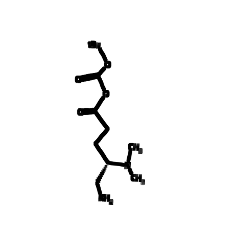 CN(C)[C@H](CN)CCC(=O)OC(=O)OC(C)(C)C